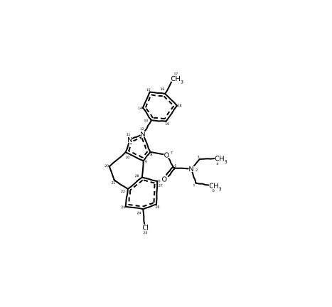 CCN(CC)C(=O)Oc1c2c(nn1-c1ccc(C)cc1)CCc1cc(Cl)ccc1-2